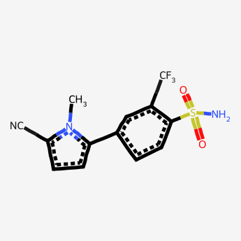 Cn1c(C#N)ccc1-c1ccc(S(N)(=O)=O)c(C(F)(F)F)c1